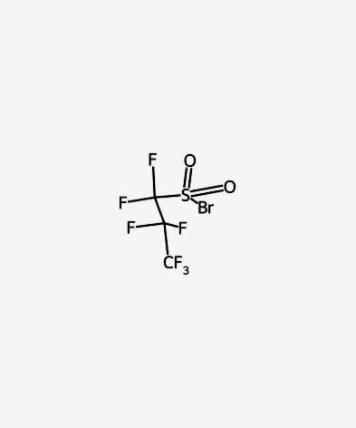 O=S(=O)(Br)C(F)(F)C(F)(F)C(F)(F)F